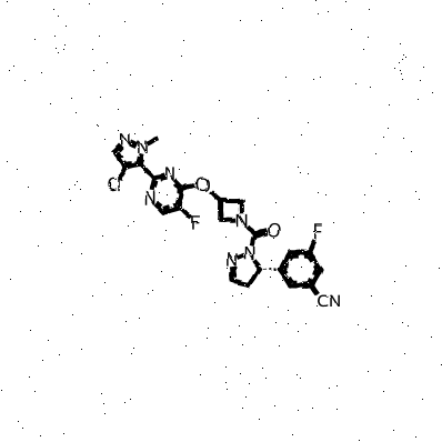 Cn1ncc(Cl)c1-c1ncc(F)c(OC2CN(C(=O)N3N=CC[C@H]3c3cc(F)cc(C#N)c3)C2)n1